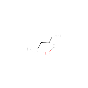 CCO.O=CCCC(=O)O